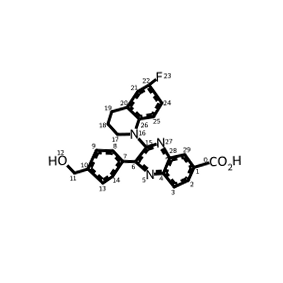 O=C(O)c1ccc2nc(-c3ccc(CO)cc3)c(N3CCCc4cc(F)ccc43)nc2c1